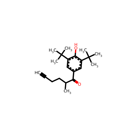 C#CCCC(C)C(=O)c1cc(C(C)(C)C)c(O)c(C(C)(C)C)c1